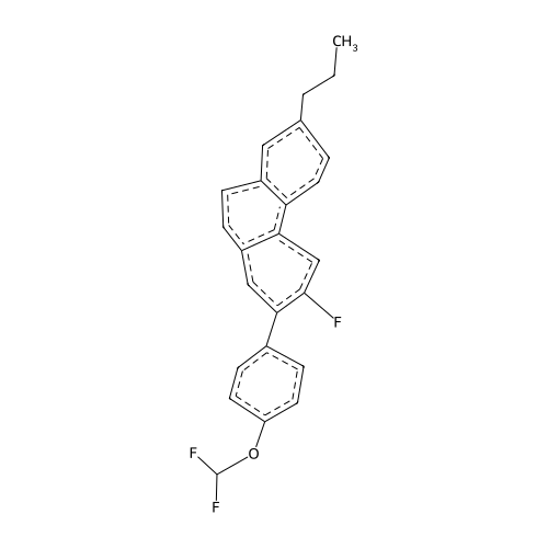 CCCc1ccc2c(ccc3cc(-c4ccc(OC(F)F)cc4)c(F)cc32)c1